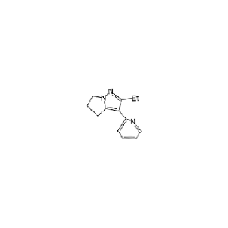 CCc1nn2c(c1-c1ccccn1)CCC2